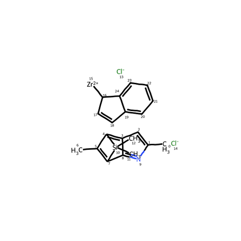 CC1=CC2=C3C(C)=C(C2=N1)[Si]3(C)C.[Cl-].[Cl-].[Zr+2][CH]1C=Cc2ccccc21